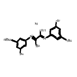 CCCCCCCCC(=N\c1cc(CCCC)cc(CCCC)c1)/C(CCCC)=N/c1cc(CCCC)cc(CCCC)c1.[Pd]